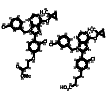 CC1(Oc2ncnc3c2nc(-c2ccc(CCCC(=O)O)cc2Cl)n3Cc2cccc(Cl)c2)CC1.COC(=O)CCOc1ccc(-c2nc3c(OC4(C)CC4)ncnc3n2Cc2cccc(Cl)c2)c(Cl)c1